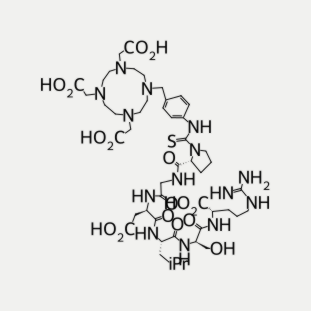 CC(C)C[C@H](NC(=O)[C@@H](CC(=O)O)NC(=O)CNC(=O)[C@H]1CCCN1C(=S)Nc1ccc(CN2CCN(CC(=O)O)CCN(CC(=O)O)CCN(CC(=O)O)CC2)cc1)C(=O)N[C@H](CO)C(=O)N[C@@H](CCCNC(=N)N)C(=O)O